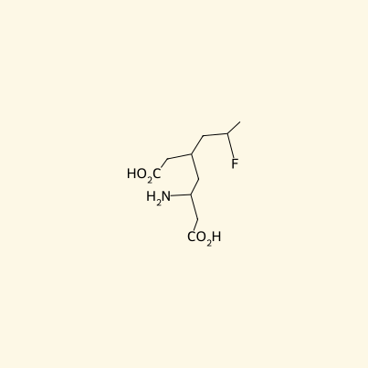 CC(F)CC(CC(=O)O)CC(N)CC(=O)O